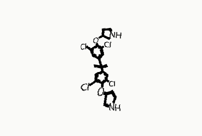 CC(C)(c1cc(Cl)c(OC2CCNC2)c(Cl)c1)c1cc(Cl)c(OC2CCNC2)c(Cl)c1